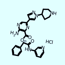 Cl.Nc1ncc(-c2cnn(C3CCNCC3)c2)nc1C(=O)O[C@@H](C(=O)Nc1cccnc1)c1ccccc1